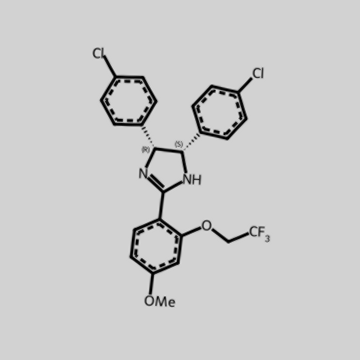 COc1ccc(C2=N[C@H](c3ccc(Cl)cc3)[C@H](c3ccc(Cl)cc3)N2)c(OCC(F)(F)F)c1